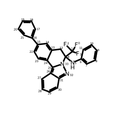 FC(F)(F)C1(Nc2ccccc2)Cc2cc(-c3ccccc3)ccc2-c2c3ccccc3nn21